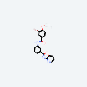 COc1ccc(C(=O)Nc2cccc(-c3nc4ncccc4o3)c2)cc1Br